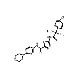 CC(C)(C(=O)Nc1nnc(C(=O)Nc2ccc(N3CCOCC3)nc2)o1)c1ccc(Cl)cc1